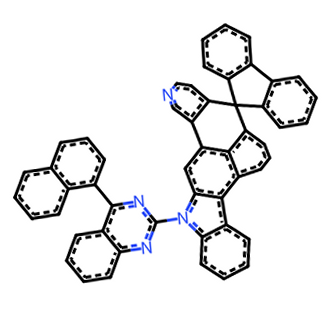 c1ccc2c(c1)-c1ccccc1C21c2ccncc2-c2cc3c(c4cccc1c24)c1ccccc1n3-c1nc(-c2cccc3ccccc23)c2ccccc2n1